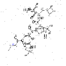 C/C=C/C(=O)OC[C@H](NC(=O)NC(C)(C)C)C(=O)N1C[C@H]2C([C@H]1C(=O)NC(CC1CCC1)C(=O)C(N)=O)C2(C)C